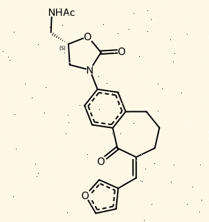 CC(=O)NC[C@H]1CN(c2ccc3c(c2)CCCC(=Cc2ccoc2)C3=O)C(=O)O1